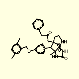 Cc1ccc(C)c(COc2ccc(C(C3(C)NC(=O)NC3=O)C3(NC(=O)Cc4ccccc4)CCNC3=O)cc2)c1